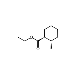 CCOC(=O)[C@H]1CCCC[C@H]1C